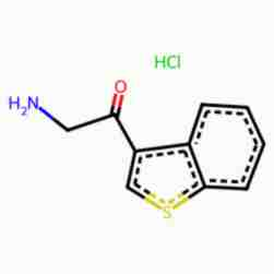 Cl.NCC(=O)c1csc2ccccc12